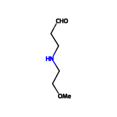 COCCNCCC=O